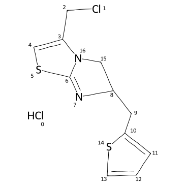 Cl.ClCC1=CSC2=NC(Cc3cccs3)CN12